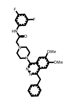 COc1cc2c(Cc3ccccc3)nnc(N3CCN(CC(=O)Nc4cc(F)cc(F)c4)CC3)c2cc1OC